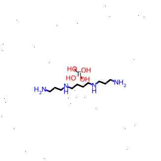 NCCCNCCCCNCCCN.[OH][Ti]([OH])([OH])[OH]